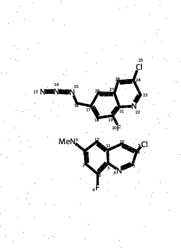 CNc1cc(F)c2ncc(Cl)cc2c1.[N-]=[N+]=NCc1cc(F)c2ncc(Cl)cc2c1